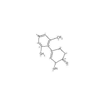 CCCC1C=C(c2c(C)cncc2C)CCC1=O